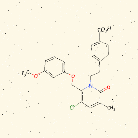 Cc1cc(Cl)c(COc2cccc(OC(F)(F)F)c2)n(CCc2ccc(C(=O)O)cc2)c1=O